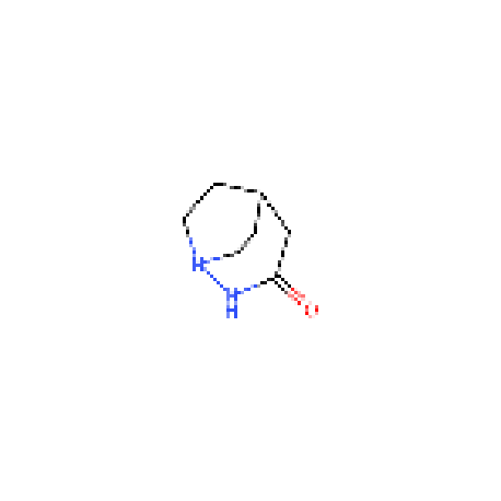 O=C1CC2CCN(CC2)N1